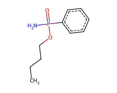 CCCCOP(N)(=O)c1ccccc1